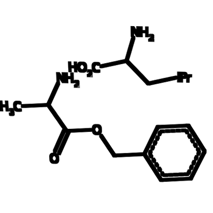 CC(C)CC(N)C(=O)O.CC(N)C(=O)OCc1ccccc1